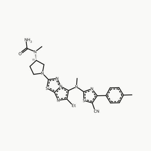 CCc1nc2sc(N3CC[C@H](N(C)C(N)=O)C3)nn2c1N(C)c1nc(-c2ccc(C)cc2)c(C#N)s1